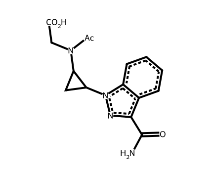 CC(=O)N(CC(=O)O)C1CC1n1nc(C(N)=O)c2ccccc21